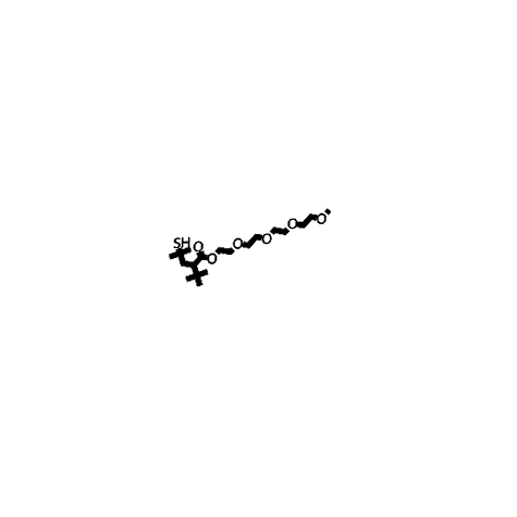 COCCOCCOCCOCCOC(=O)C(CC(C)(C)S)C(C)(C)C